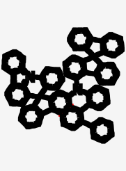 c1ccc(-c2ccccc2-c2ccccc2N(c2ccc3c(c2)C2(c4ccccc4-3)c3ccccc3-n3c4ccccc4c4cccc2c43)c2cccc3c2-c2ccccc2C32c3ccccc3-c3ccccc32)cc1